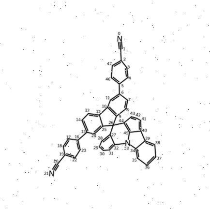 N#Cc1ccc(-c2ccc3c(c2)-c2ccc(-c4ccc(C#N)cc4)cc2C32c3ccccc3-n3c4ccccc4c4cccc2c43)cc1